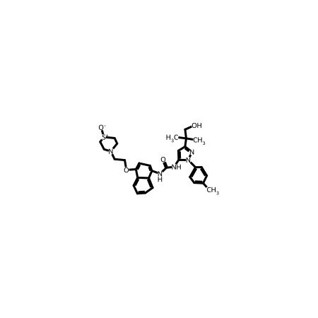 Cc1ccc(-n2nc(C(C)(C)CO)cc2NC(=O)Nc2ccc(OCCN3CC[S+]([O-])CC3)c3ccccc23)cc1